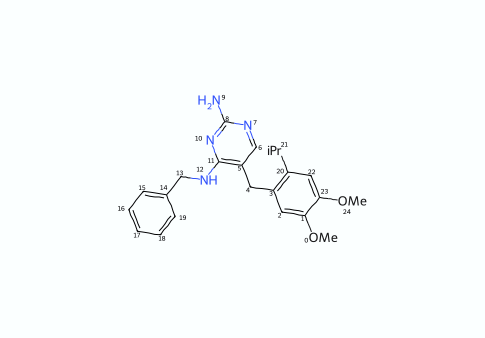 COc1cc(Cc2cnc(N)nc2NCc2ccccc2)c(C(C)C)cc1OC